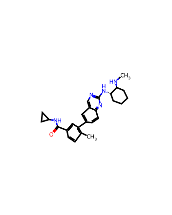 CN[C@H]1CCCC[C@@H]1Nc1ncc2cc(-c3cc(C(=O)NC4CC4)ccc3C)ccc2n1